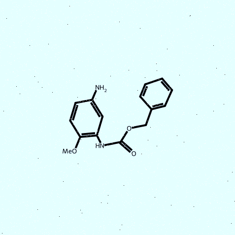 COc1ccc(N)cc1NC(=O)OCc1ccccc1